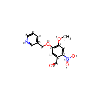 COc1cc([N+](=O)[O-])c(C=O)cc1OCc1cccnc1